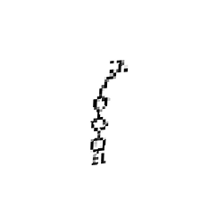 CCc1ccc([C@H]2CC[C@H]([C@H]3CC[C@H](CCC=CC#N)CC3)CC2)cc1